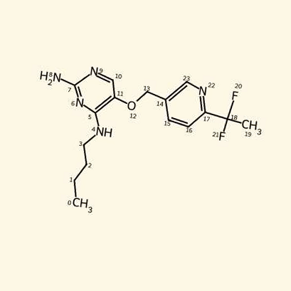 CCCCNc1nc(N)ncc1OCc1ccc(C(C)(F)F)nc1